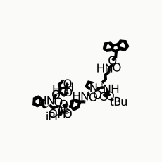 CC(C)CN(C[C@@H](O)[C@H](Cc1ccccc1)NC(=O)O[C@H]1CO[C@H]2OCC[C@H]21)S(=O)(=O)c1ccc(CNC(=O)[C@@H]2CCCN2C(=O)[C@H](CCCCNC(=O)OCC2c3ccccc3-c3ccccc32)NC(=O)OC(C)(C)C)cc1